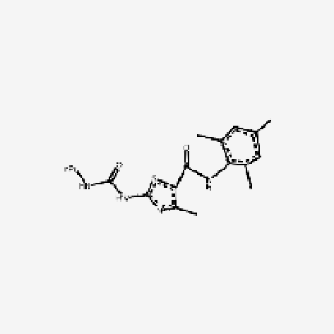 CCCNC(=O)Nc1nc(C)c(C(=O)Nc2c(C)cc(C)cc2C)s1